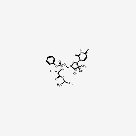 CC(C)OC(=O)[C@@H](C)N[P@@](=O)(OC[C@H]1S[C@@H](n2ccc(=O)[nH]c2=O)[C@](C)(O)[C@@H]1O)Oc1ccccc1